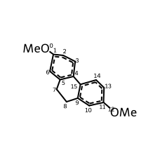 COc1ccc2c(c1)CCc1cc(OC)ccc1-2